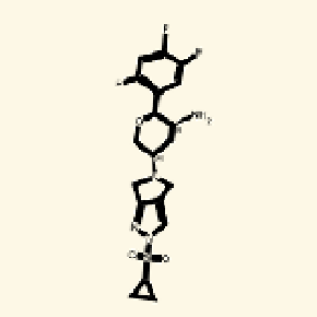 N[C@H]1C[C@@H](N2Cc3cn(S(=O)(=O)C4CC4)nc3C2)COC1c1cc(F)c(F)cc1F